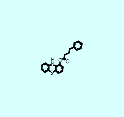 O=C(CCCc1ccccc1)Oc1cccc2c1Nc1ccccc1S2